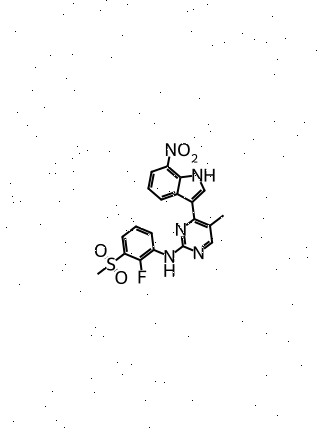 Cc1cnc(Nc2cccc(S(C)(=O)=O)c2F)nc1-c1c[nH]c2c([N+](=O)[O-])cccc12